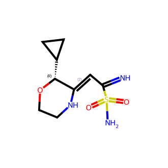 N=C(/C=C1\NCCO[C@@H]1C1CC1)S(N)(=O)=O